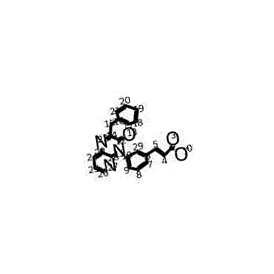 COC(=O)C=Cc1cccc(-n2c(=O)c(Cc3ccccc3)nc3cccnc32)c1